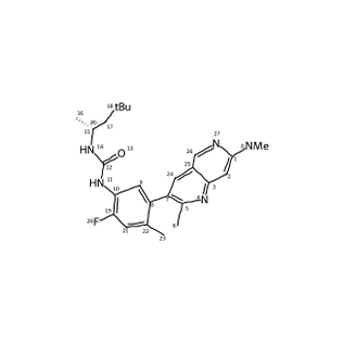 CNc1cc2nc(C)c(-c3cc(NC(=O)N[C@H](C)CC(C)(C)C)c(F)cc3C)cc2cn1